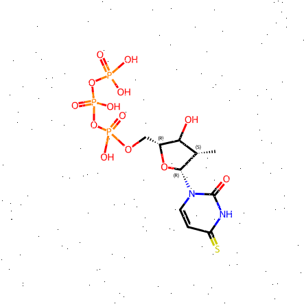 C[C@H]1C(O)[C@@H](COP(=O)(O)OP(=O)(O)OP(=O)(O)O)O[C@H]1n1ccc(=S)[nH]c1=O